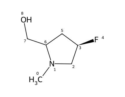 CN1C[C@H](F)CC1CO